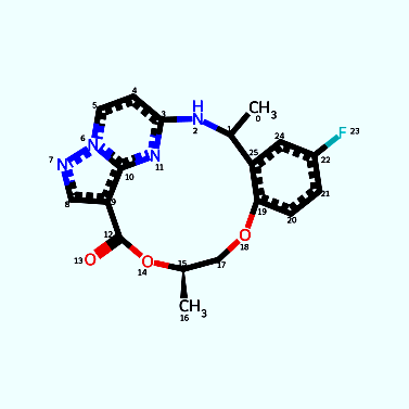 CC1Nc2ccn3ncc(c3n2)C(=O)O[C@H](C)COc2ccc(F)cc21